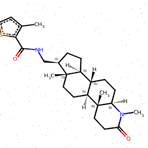 Cc1ccsc1C(=O)NC[C@H]1CC[C@H]2[C@@H]3CC[C@H]4N(C)C(=O)CC[C@]4(C)[C@H]3CC[C@]12C